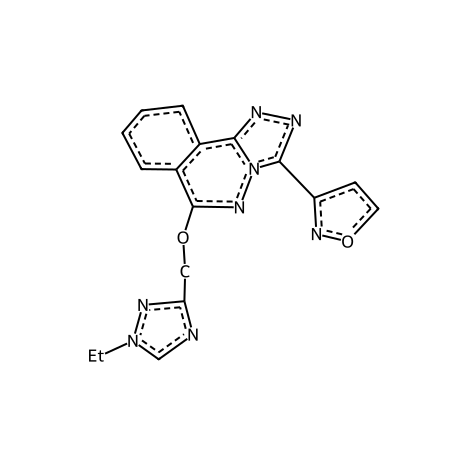 CCn1cnc(COc2nn3c(-c4ccon4)nnc3c3ccccc23)n1